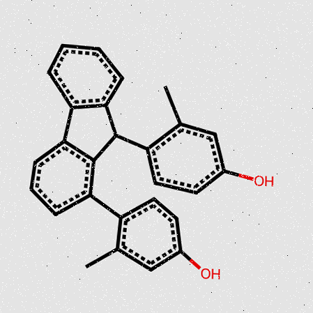 Cc1cc(O)ccc1-c1cccc2c1C(c1ccc(O)cc1C)c1ccccc1-2